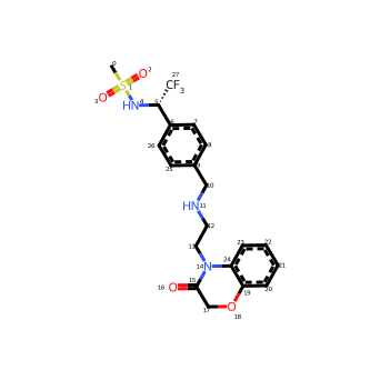 CS(=O)(=O)N[C@@H](c1ccc(CNCCN2C(=O)COc3ccccc32)cc1)C(F)(F)F